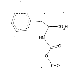 O=COC(=O)N[C@@H](Cc1ccccc1)C(=O)O